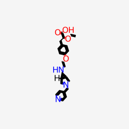 CCO[C@@H](Cc1ccc(OCCN[C@H]2C3CN(Cc4ccncc4)C[C@@H]32)cc1)C(=O)O